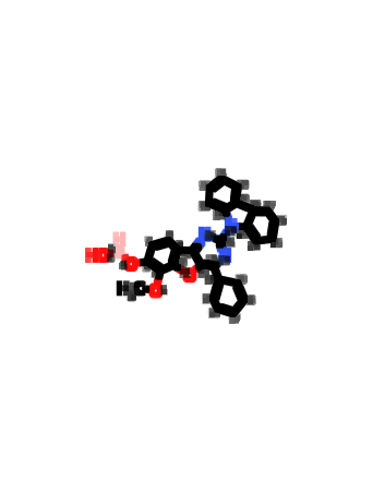 COc1c(OBO)ccc2c1oc1c(-c3ccccc3)nc(-n3c4ccccc4c4ccccc43)nc12